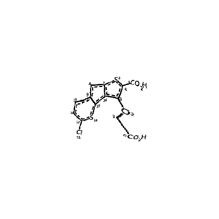 O=C(O)COc1c(C(=O)O)sc2cc3ccc(Cl)sc-3c12